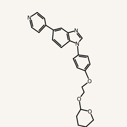 c1cc(-c2ccc3c(c2)ncn3-c2ccc(OCCOC3CCCCO3)cc2)ccn1